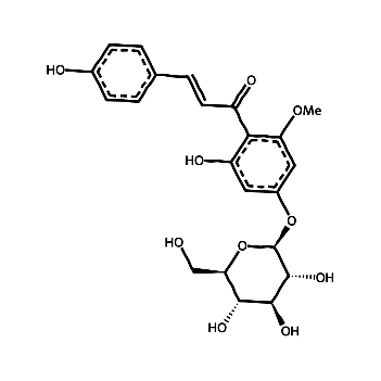 COc1cc(O[C@@H]2O[C@H](CO)[C@@H](O)[C@H](O)[C@H]2O)cc(O)c1C(=O)C=Cc1ccc(O)cc1